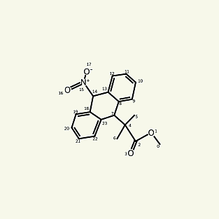 COC(=O)C(C)(C)C1c2ccccc2C([N+](=O)[O-])c2ccccc21